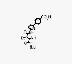 CC[C@@H](C(=N)C(=O)OC(C)(C)C)C(=O)Nc1nc(-c2ccc(C(=O)O)cc2)cs1